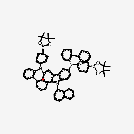 CC1(C)OB(c2ccc(N(c3ccc4c(c3)c3cc(N(c5ccc(B6OC(C)(C)C(C)(C)O6)cc5)c5ccccc5-c5ccccc5)ccc3n4-c3cccc4ccccc34)c3ccccc3-c3ccccc3)cc2)OC1(C)C